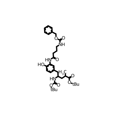 CC(CC(Cc1ccc(O)c(NC(=O)CCCNC(=O)OCc2ccccc2)c1)NC(=O)OC(C)(C)C)C(=O)OC(C)(C)C